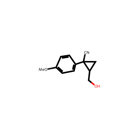 COc1ccc(C2(C#N)CC2CO)cc1